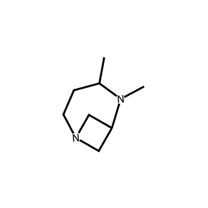 CC1CCN2CC(C2)N1C